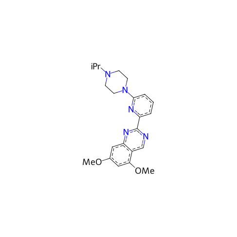 COc1cc(OC)c2cnc(-c3cccc(N4CCN(C(C)C)CC4)n3)nc2c1